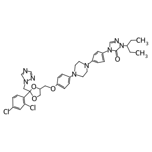 CCC(CC)n1ncn(-c2ccc(N3CCN(c4ccc(OCC5COC(Cn6cncn6)(c6ccc(Cl)cc6Cl)O5)cc4)CC3)cc2)c1=O